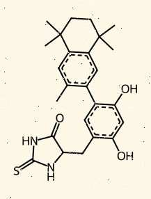 Cc1cc2c(cc1-c1cc(CC3NC(=S)NC3=O)c(O)cc1O)C(C)(C)CCC2(C)C